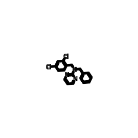 Clc1ccc(CN(Cc2ccccc2)c2ncccn2)c(Cl)c1